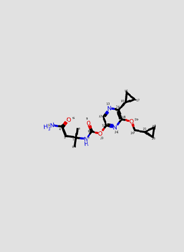 CC(C)(CC(N)=O)NC(=O)Oc1cnc(C2CC2)c(OCC2CC2)n1